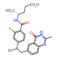 CCN(Cc1ccc2nc(C)[nH]c(=O)c2c1)c1ccc(C(=O)N[C@@H](CCC(=O)O)C(=O)O)c(F)c1